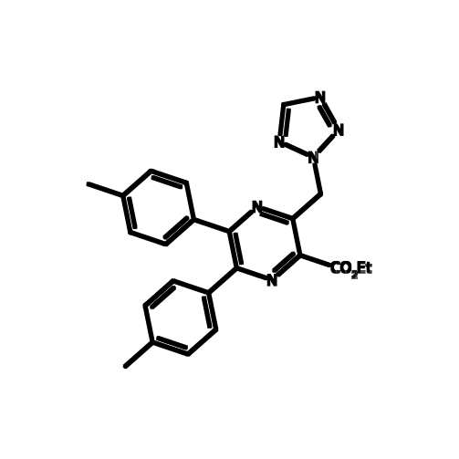 CCOC(=O)c1nc(-c2ccc(C)cc2)c(-c2ccc(C)cc2)nc1Cn1ncnn1